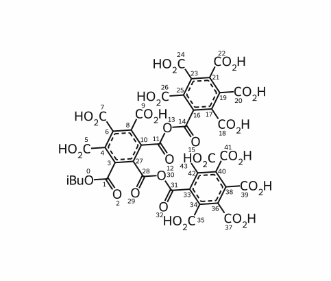 CC(C)COC(=O)c1c(C(=O)O)c(C(=O)O)c(C(=O)O)c(C(=O)OC(=O)c2c(C(=O)O)c(C(=O)O)c(C(=O)O)c(C(=O)O)c2C(=O)O)c1C(=O)OC(=O)c1c(C(=O)O)c(C(=O)O)c(C(=O)O)c(C(=O)O)c1C(=O)O